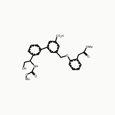 COC(=O)Cc1ccccc1OCc1cc(C(=O)O)cc(-c2cccc(C(CO)NC(=O)OC(C)(C)C)c2)c1